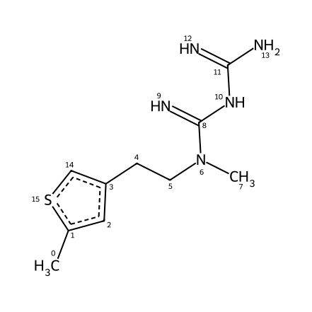 Cc1cc(CCN(C)C(=N)NC(=N)N)cs1